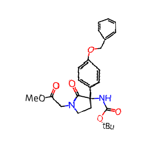 COC(=O)CN1CCC(NC(=O)OC(C)(C)C)(c2ccc(OCc3ccccc3)cc2)C1=O